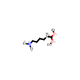 CCOC(OCC)[SiH2]CCCCN(CC)CC